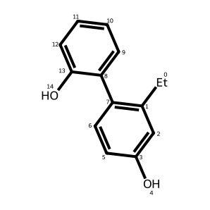 CCc1cc(O)ccc1-c1ccccc1O